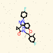 Cc1cc(F)ccc1[C@H](Oc1ccc2c(cnn2-c2ccc(F)cc2)c1)[C@H](C)NC(=O)C1(C)CC1